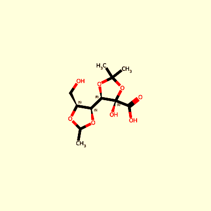 CC1O[C@H]([C@H]2OC(C)(C)O[C@]2(O)C(=O)O)[C@H](CO)O1